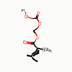 CNC(C(=O)OCOC(=O)OC(C)C)=C(C)C